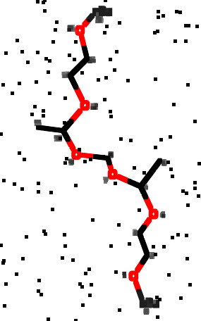 CCCCOCCOC(C)OCOC(C)OCCOCCCC